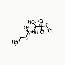 CCCC(=O)NC(O)C(Cl)(Cl)CCl